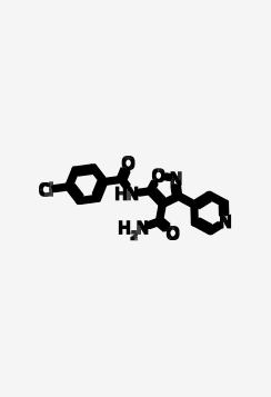 NC(=O)c1c(-c2ccncc2)noc1NC(=O)c1ccc(Cl)cc1